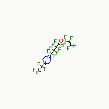 FC(F)=C(F)C(F)(F)OC(F)(F)C(F)(F)C(F)(F)C(F)(F)N1CCN(C(F)(F)C(F)(F)F)CC1